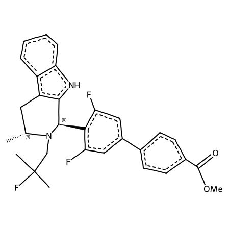 COC(=O)c1ccc(-c2cc(F)c([C@@H]3c4[nH]c5ccccc5c4C[C@@H](C)N3CC(C)(C)F)c(F)c2)cc1